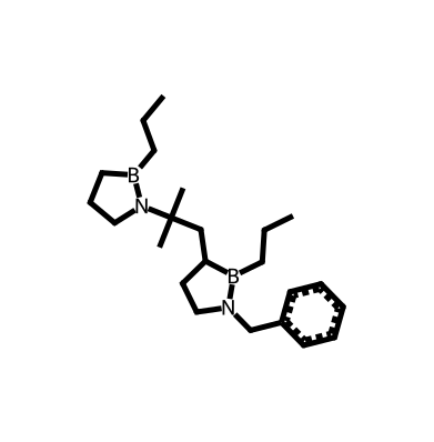 CCCB1C(CC(C)(C)N2CCCB2CCC)CCN1Cc1ccccc1